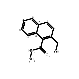 NNC(=O)c1c(CO)ccc2ccccc12